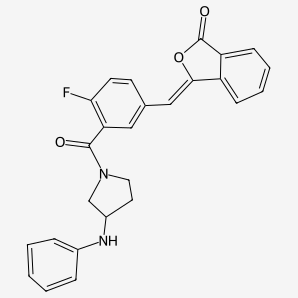 O=C1OC(=Cc2ccc(F)c(C(=O)N3CCC(Nc4ccccc4)C3)c2)c2ccccc21